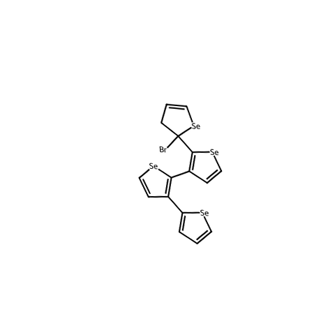 BrC1(c2[se]ccc2-c2[se]ccc2-c2ccc[se]2)CC=C[Se]1